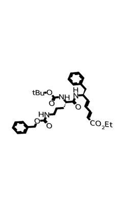 CCOC(=O)/C=C/C=C/[C@H](Cc1ccccc1)NC(=O)[C@H](CCCNC(=O)OCc1ccccc1)NC(=O)OC(C)(C)C